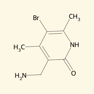 Cc1[nH]c(=O)c(CN)c(C)c1Br